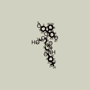 COC1=CCC(C(OC[C@H](CCN2CCC(NC(=O)C3=CC=C(C(C)(C)C)CC3)=NC2=O)OCCO)(C2=CC=CCC2)C2CCC(OC)CC2)CC1